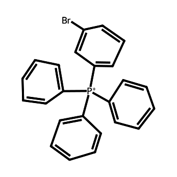 Brc1cccc([P+](c2ccccc2)(c2ccccc2)c2ccccc2)c1